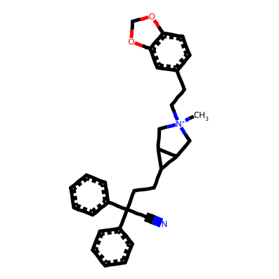 C[N+]1(CCc2ccc3c(c2)OCO3)CC2C(CCC(C#N)(c3ccccc3)c3ccccc3)C2C1